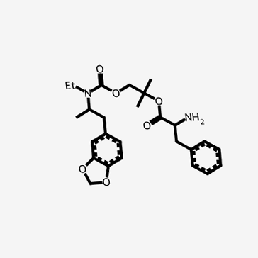 CCN(C(=O)OCC(C)(C)OC(=O)C(N)Cc1ccccc1)C(C)Cc1ccc2c(c1)OCO2